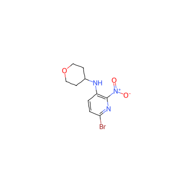 O=[N+]([O-])c1nc(Br)ccc1NC1CCOCC1